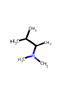 [CH2]C(C(C)C)N(C)C